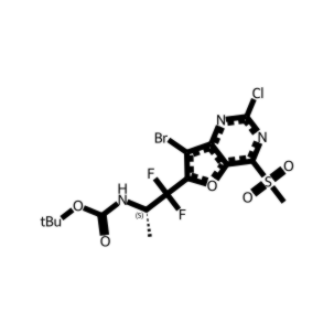 C[C@H](NC(=O)OC(C)(C)C)C(F)(F)c1oc2c(S(C)(=O)=O)nc(Cl)nc2c1Br